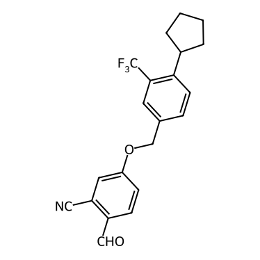 N#Cc1cc(OCc2ccc(C3CCCC3)c(C(F)(F)F)c2)ccc1C=O